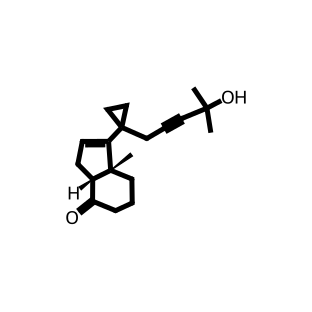 CC(C)(O)C#CCC1(C2=CC[C@H]3C(=O)CCC[C@@]23C)CC1